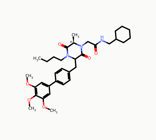 CCCCN1C(=O)[C@@H](C)N(CC(=O)NCC2CCCCC2)C(=O)C1Cc1ccc(-c2cc(OC)c(OC)c(OC)c2)cc1